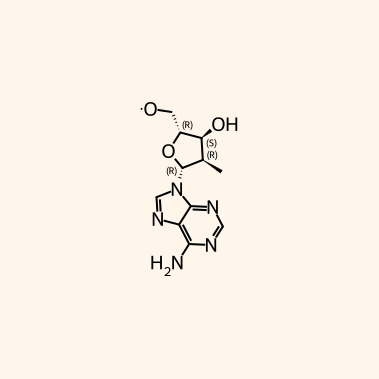 C[C@@H]1[C@H](O)[C@@H](C[O])O[C@H]1n1cnc2c(N)ncnc21